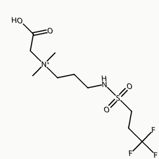 C[N+](C)(CCCNS(=O)(=O)CCC(F)(F)F)CC(=O)O